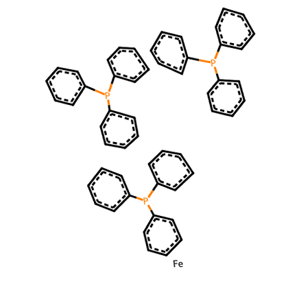 [Fe].c1ccc(P(c2ccccc2)c2ccccc2)cc1.c1ccc(P(c2ccccc2)c2ccccc2)cc1.c1ccc(P(c2ccccc2)c2ccccc2)cc1